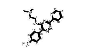 CN(C)CCSc1nc(-c2ccccn2)nnc1-c1ccc(C(F)(F)F)cc1